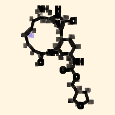 N[C@H]1C/C=C/CCC(=O)Nc2cc(NC(=O)OCC3CCOC3)ccc2-c2nc1[nH]c2Cl